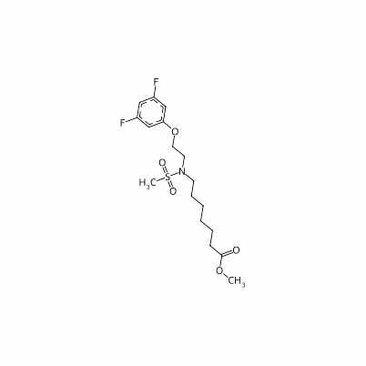 COC(=O)CCCCCCN(CCOc1cc(F)cc(F)c1)S(C)(=O)=O